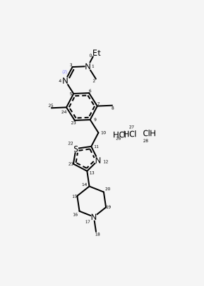 CCN(C)/C=N\c1cc(C)c(Cc2nc(C3CCN(C)CC3)cs2)cc1C.Cl.Cl.Cl